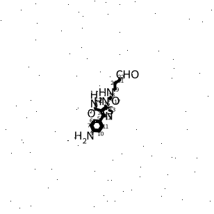 NC(=O)c1c(-c2ccc(N)cc2)nsc1NC(=O)NCCCC=O